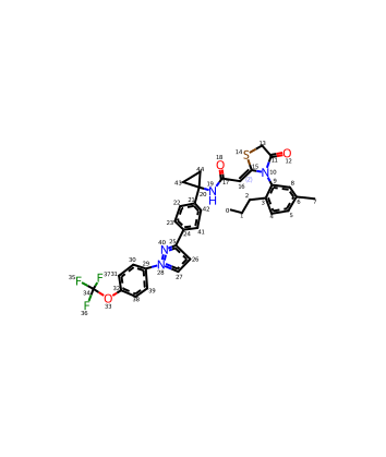 CCCc1ccc(C)cc1N1C(=O)CS/C1=C\C(=O)NC1(c2ccc(-c3ccn(-c4ccc(OC(F)(F)F)cc4)n3)cc2)CC1